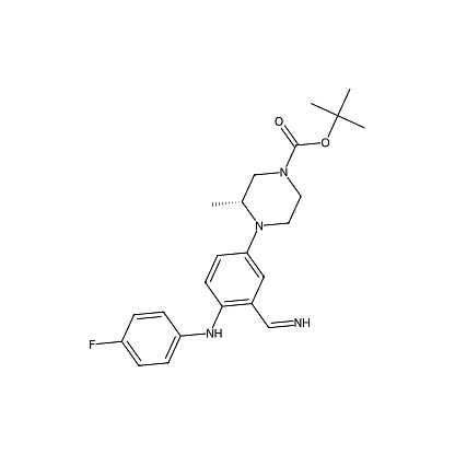 C[C@@H]1CN(C(=O)OC(C)(C)C)CCN1c1ccc(Nc2ccc(F)cc2)c(C=N)c1